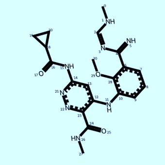 CN/C=N\C(=N)c1cccc(Nc2cc(NC(=O)C3CC3)nnc2C(=O)NC)c1OC